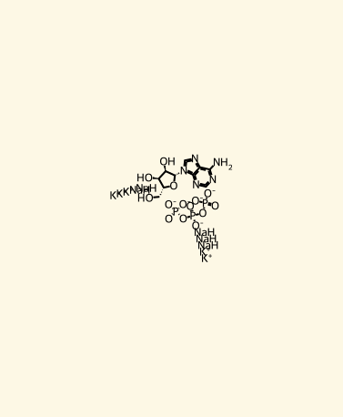 Nc1ncnc2c1ncn2[C@@H]1O[C@H](CO)[C@@H](O)[C@H]1O.O=P([O-])([O-])OP(=O)([O-])OP(=O)([O-])[O-].[K+].[K+].[K+].[K+].[K+].[NaH].[NaH].[NaH].[NaH].[NaH]